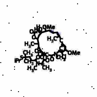 COc1cc2cc(c1Cl)N(C)C(=O)CC(OC(=O)[C@H](C)N(C)C(=O)CCC(C)(C)SC(C)C)C1(C)OC1C(C)C1CC(O)(NC(=O)O1)C(OC)/C=C/C=C(\C)C2